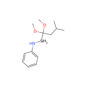 COC(CC(C)C)(OC)[SiH2]Nc1ccccc1